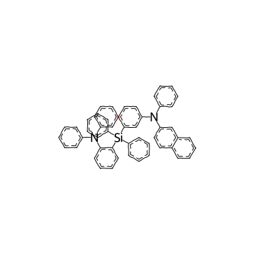 c1ccc(N(c2cccc([Si](c3ccccc3)(c3ccccc3)c3ccccc3N(c3ccccc3)c3ccccc3)c2)c2ccc3ccccc3c2)cc1